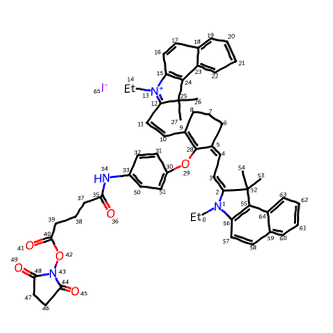 CCN1C(=CC=C2CCCC(C=CC3=[N+](CC)c4ccc5ccccc5c4C3(C)C)=C2Oc2ccc(NC(=O)CCCC(=O)ON3C(=O)CCC3=O)cc2)C(C)(C)c2c1ccc1ccccc21.[I-]